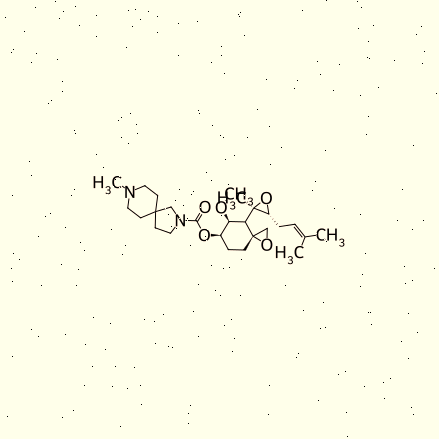 CO[C@H]1C([C@@]2(C)O[C@@H]2CC=C(C)C)[C@]2(CC[C@H]1OC(=O)N1CCC3(CCN(C)CC3)C1)CO2